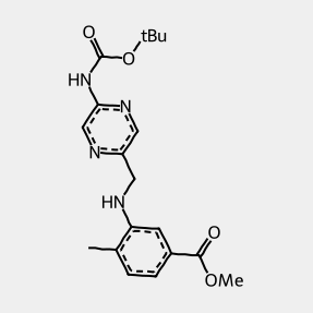 COC(=O)c1ccc(C)c(NCc2cnc(NC(=O)OC(C)(C)C)cn2)c1